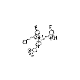 Fc1ccc2[nH]cc(CCCCl)c2c1.Fc1ccc2[nH]cc(CCCN3CCN(c4ccc5c(c4)OCCO5)CC3)c2c1